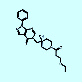 CCOCCC(=O)N1CCC(O)(Cn2cnc3c(cnn3-c3ccccc3)c2=O)CC1